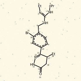 CCCNC(=NCC)NCc1ccc(C2=NNC(=O)CC2CC)cc1Br